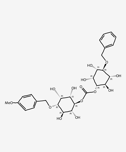 COc1ccc(CO[C@H]2[C@H](O)[C@@H](O)[C@H](OC(=O)O[C@H]3[C@H](O)[C@@H](O)[C@H](OCc4ccccc4)[C@@H](O)[C@H]3O)[C@@H](O)[C@H]2O)cc1